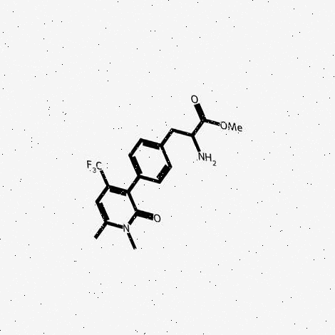 COC(=O)C(N)Cc1ccc(-c2c(C(F)(F)F)cc(C)n(C)c2=O)cc1